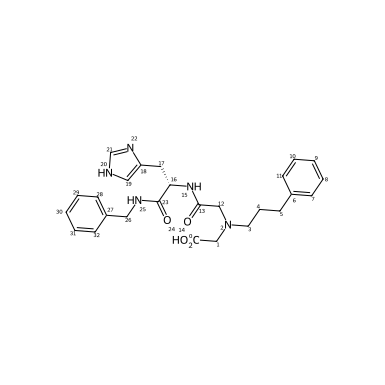 O=C(O)CN(CCCc1ccccc1)CC(=O)N[C@@H](Cc1c[nH]cn1)C(=O)NCc1ccccc1